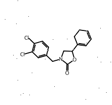 O=C1OC(C2=CC=CCC2)CN1Cc1ccc(Cl)c(Cl)c1